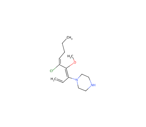 C=C/C(=C(OC)\C(Cl)=C/CCC)N1CCNCC1